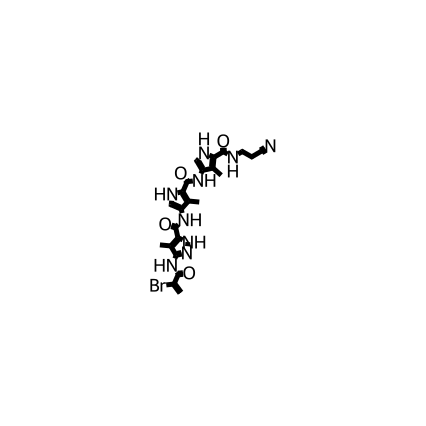 C=C(Br)C(=O)Nc1n[nH]c(C(=O)Nc2c[nH]c(C(=O)Nc3c[nH]c(C(=O)NCCC#N)c3C)c2C)c1C